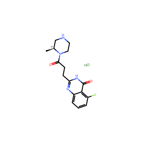 C[C@H]1CNCCN1C(=O)CCc1nc2cccc(F)c2c(=O)[nH]1.Cl